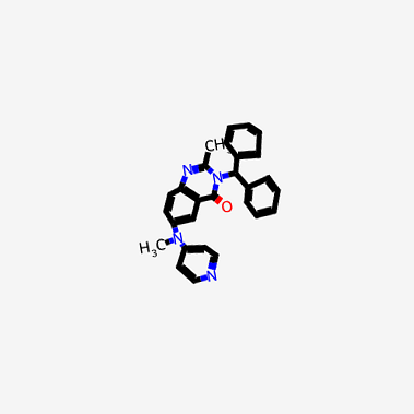 Cc1nc2ccc(N(C)c3ccncc3)cc2c(=O)n1C(c1ccccc1)c1ccccc1